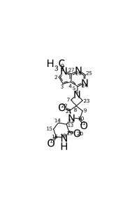 Cn1ccc2c(N3CC4(CC(=O)N(C5CCC(=O)NC5=O)C4=O)C3)ncnc21